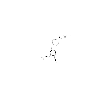 CN(C)/C=C/c1cc(OC2CCN(C(=O)OC(C)(C)C)CC2)ccc1C#N